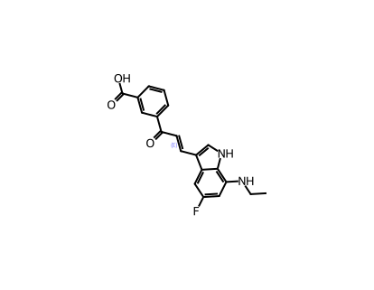 CCNc1cc(F)cc2c(/C=C/C(=O)c3cccc(C(=O)O)c3)c[nH]c12